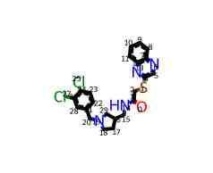 O=C(CSc1cnc2ccccc2n1)NCC1CCN(Cc2ccc(Cl)c(Cl)c2)C1